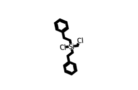 ClC[Si](Cl)(CCc1ccccc1)CCc1ccccc1